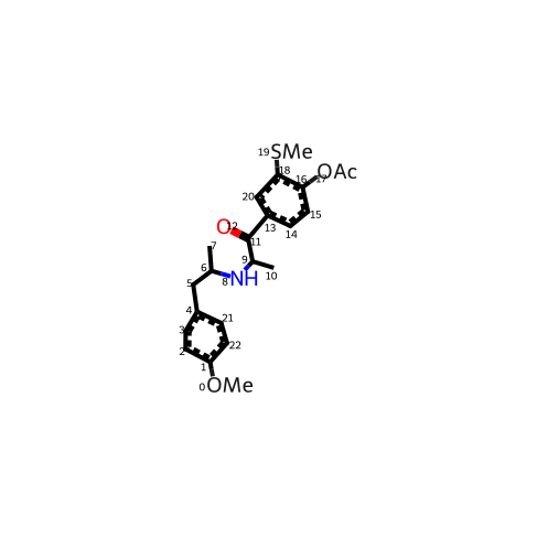 COc1ccc(CC(C)NC(C)C(=O)c2ccc(OC(C)=O)c(SC)c2)cc1